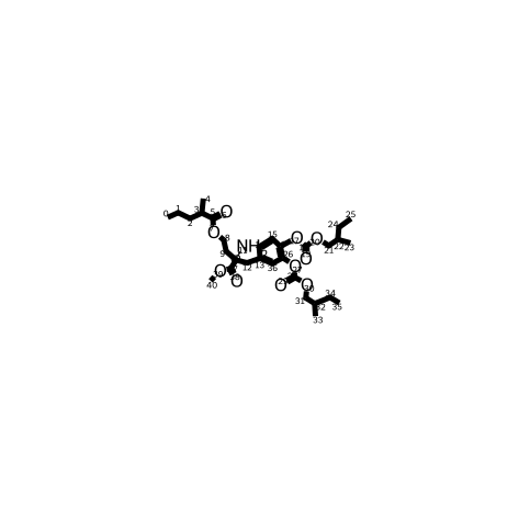 CCCC(C)C(=O)OCC[C@@](N)(Cc1ccc(OC(=O)OCC(C)CC)c(OC(=O)OCC(C)CC)c1)C(=O)OC